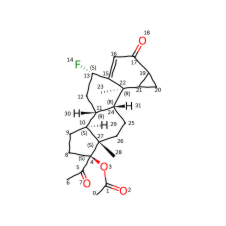 CC(=O)O[C@@]1(C(C)=O)CC[C@H]2[C@@H]3C[C@H](F)C4=CC(=O)C5CC5[C@@]4(C)[C@@H]3CC[C@@]21C